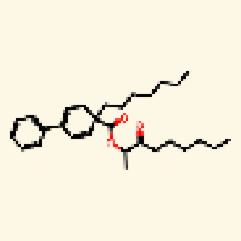 CCCCCCCC1(C(=O)OC(C)C(=O)CCCCCC)C=CC(c2ccccc2)=CC1